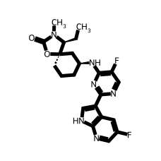 CC[C@@H]1N(C)C(=O)O[C@@]12CCC[C@H](Nc1nc(-c3c[nH]c4ncc(F)cc34)ncc1F)C2